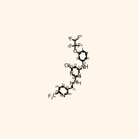 FC(F)C(F)(F)Oc1cccc(Nc2cc(Cl)nc(N/N=C/c3ccc(C(F)(F)F)nc3)n2)c1